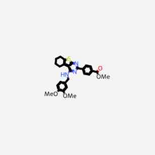 COC(=O)c1ccc(-c2nc(NCc3ccc(OC)c(OC)c3)c3c4c(sc3n2)CCCC4)cc1